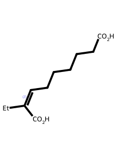 CC/C(=C/CCCCCC(=O)O)C(=O)O